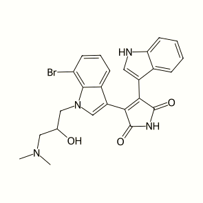 CN(C)CC(O)Cn1cc(C2=C(c3c[nH]c4ccccc34)C(=O)NC2=O)c2cccc(Br)c21